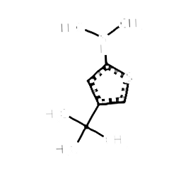 C[SH](C)c1cc(C(C)(C)C)cs1